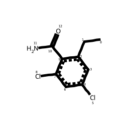 CCc1cc(Cl)cc(Cl)c1C(N)=O